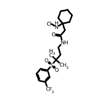 CC(C)(CCNC(=O)CC1(NCl)CCCCC1)S(=O)(=O)c1cccc(C(F)(F)F)c1